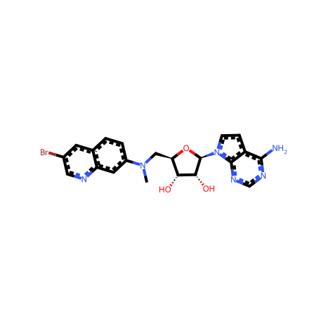 CN(C[C@H]1O[C@@H](n2ccc3c(N)ncnc32)[C@H](O)[C@@H]1O)c1ccc2cc(Br)cnc2c1